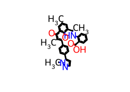 Cc1cc([C@@H](C)Nc2ccccc2C(=O)O)c2oc(-c3ccc(-c4ccnn4C)cc3)c(C)c(=O)c2c1